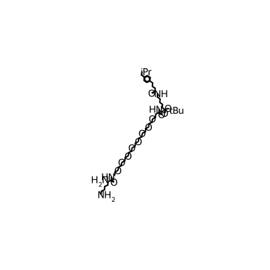 CC(C)Cc1ccc(CCCC(=O)NCCCCC(NC(=O)CCOCCOCCOCCOCCOCCOCCOCCOCCNC(=O)C(N)CCCCN)C(=O)OC(C)(C)C)cc1